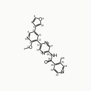 COc1ncc(-c2ccoc2)cc1-c1cnc(NC(=O)c2ccncc2C)cn1